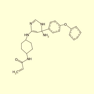 C=CC(=O)NC1CCC(NC2=CC(N)(c3ccc(Oc4ccccc4)cc3)NC=N2)CC1